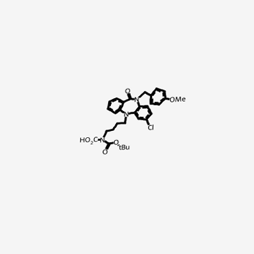 COc1ccc(CN2C(=O)c3ccccc3N(CCCCN(C(=O)O)C(=O)OC(C)(C)C)c3cc(Cl)ccc32)cc1